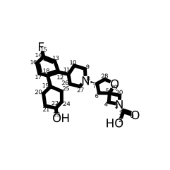 O=C(O)N1CC2(C[C@H](N3CCC(c4cc(F)ccc4C4CCC(O)CC4)CC3)CO2)C1